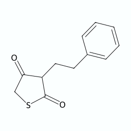 O=C1CSC(=O)C1CCc1ccccc1